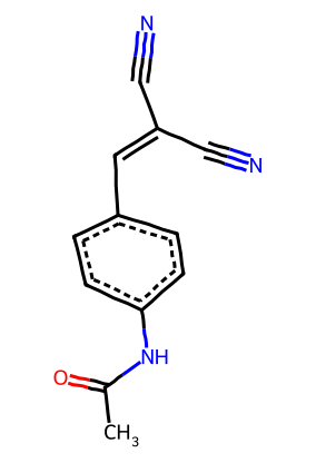 CC(=O)Nc1ccc(C=C(C#N)C#N)cc1